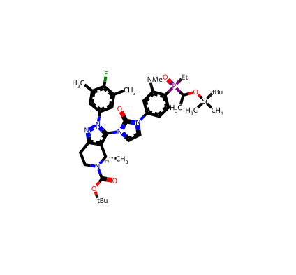 CCP(=O)(c1ccc(-n2ccn(-c3c4c(nn3-c3cc(C)c(F)c(C)c3)CCN(C(=O)OC(C)(C)C)[C@H]4C)c2=O)cc1NC)C(C)O[Si](C)(C)C(C)(C)C